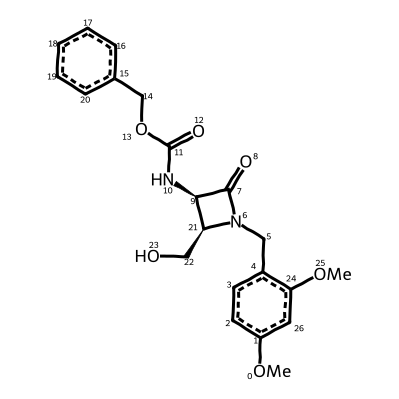 COc1ccc(CN2C(=O)[C@H](NC(=O)OCc3ccccc3)[C@@H]2CO)c(OC)c1